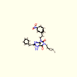 CCCn1c(=O)c2[nH]c(Cc3ccccc3)nc2n(CCc2cccc([N+](=O)[O-])c2)c1=O